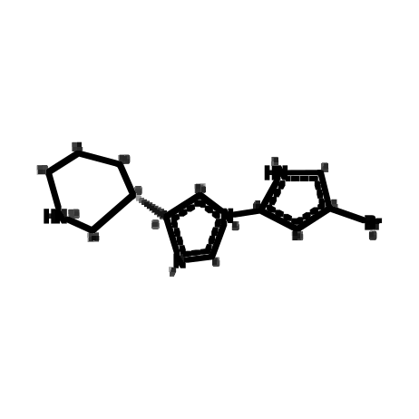 Brc1c[nH]c(-n2cnc([C@H]3CCCNC3)c2)c1